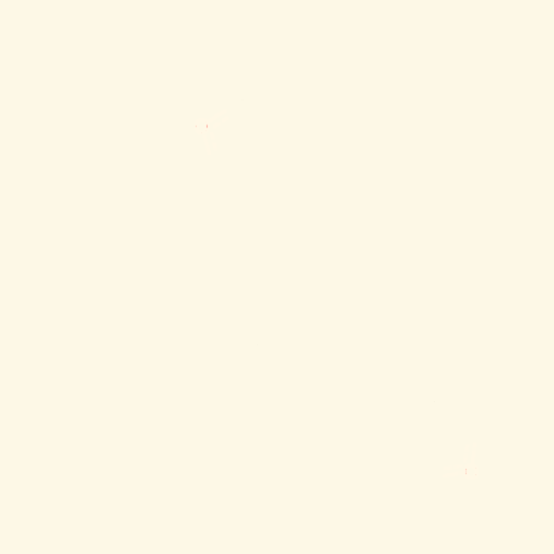 c1ccc(-c2ccc3c(-c4cccc5oc6ccccc6c45)c4ccccc4c(-c4ccc5oc6ccccc6c5c4)c3c2)cc1